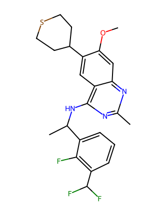 COc1cc2nc(C)nc(NC(C)c3cccc(C(F)F)c3F)c2cc1C1CCSCC1